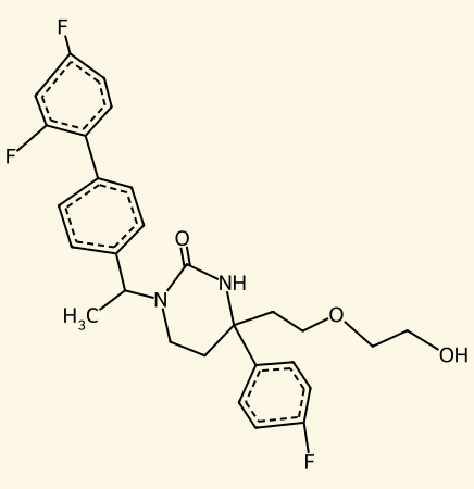 CC(c1ccc(-c2ccc(F)cc2F)cc1)N1CCC(CCOCCO)(c2ccc(F)cc2)NC1=O